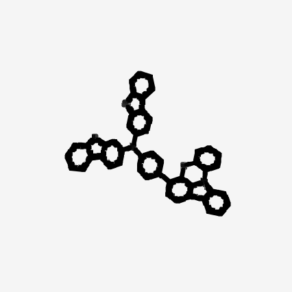 c1ccc2c(c1)Sc1c(-c3ccc(N(c4ccc5c(c4)oc4ccccc45)c4ccc5c(c4)oc4ccccc45)cc3)ccc3c4ccccc4n-2c13